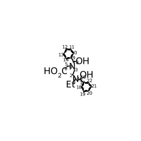 CCN(CCN(CC(=O)O)C(O)c1ccccc1)C(O)c1ccccc1